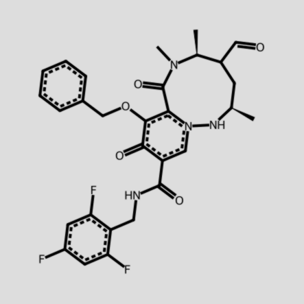 C[C@@H]1CC(C=O)[C@H](C)N(C)C(=O)c2c(OCc3ccccc3)c(=O)c(C(=O)NCc3c(F)cc(F)cc3F)cn2N1